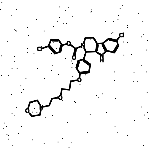 O=C(Oc1ccc(Cl)cc1)N1CCc2c([nH]c3ccc(Cl)cc23)C1c1ccc(OCCCOCCN2CCOCC2)cc1